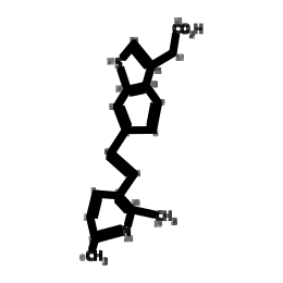 Cc1ccc(/C=C/c2ccc3c(CC(=O)O)csc3c2)c(C)n1